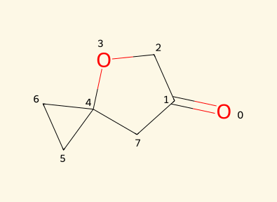 O=C1COC2(CC2)C1